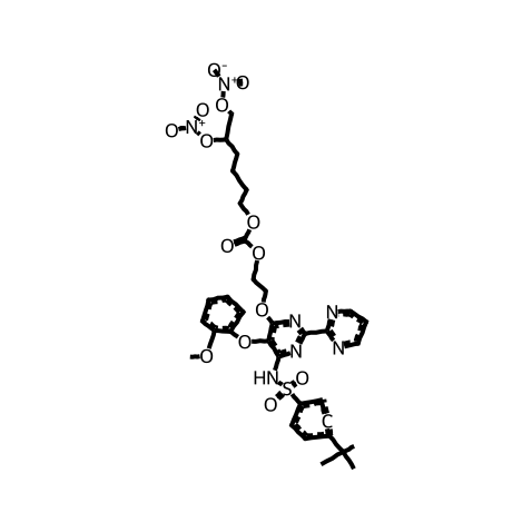 COc1ccccc1Oc1c(NS(=O)(=O)c2ccc(C(C)(C)C)cc2)nc(-c2ncccn2)nc1OCCOC(=O)OCCCCC(CO[N+](=O)[O-])O[N+](=O)[O-]